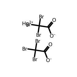 O=C([O-])C(Br)(Br)Br.O=C([O-])C(Br)(Br)Br.[Hg+2]